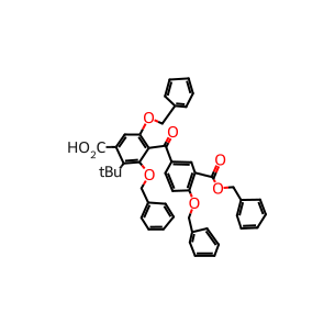 CC(C)(C)c1c(C(=O)O)cc(OCc2ccccc2)c(C(=O)c2ccc(OCc3ccccc3)c(C(=O)OCc3ccccc3)c2)c1OCc1ccccc1